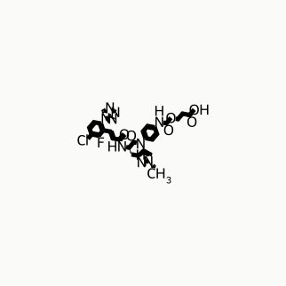 CCn1ccc(C[C@H](NC(=O)C=Cc2c(-n3cnnn3)ccc(Cl)c2F)C(=O)Nc2ccc(NC(=O)OCCC(=O)O)cc2)n1